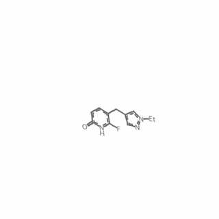 CCn1cc(Cc2ccc(=O)[nH]c2F)cn1